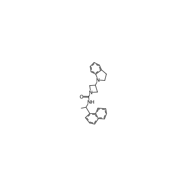 CC(NC(=O)N1CC(N2CCc3ccccc32)C1)c1cccc2ccccc12